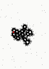 Cc1cc2c(cc1N1c3c(oc4cc5c(cc34)C(C)(C)CCC5(C)C)Bc3c(-c4cc5ccccc5cc4Nc4cccc5sc6ccccc6c45)cc4c(oc5ccccc54)c31)C(C)(C)CCC2(C)C